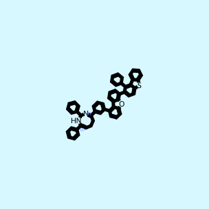 C1=CCC(c2c(-c3cccc4c3oc3cccc(-c5cccc(/C6=N/C(c7ccccc7)N/C(c7ccccc7)=C\CC6)c5)c34)ccc3sc4ccccc4c23)C=C1